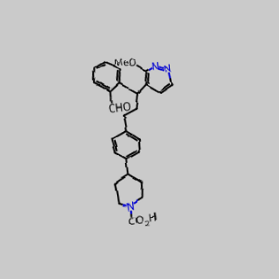 COc1nnccc1C(CCc1ccc(C2CCN(C(=O)O)CC2)cc1)c1ccccc1C=O